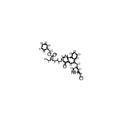 CCN(CCCn1cnc2c(cc(C/C(C=N)=C/C=C/Cl)c3ccccc32)c1=O)C(=O)OCc1ccccc1